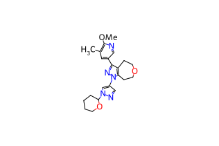 COc1ncc(-c2nn(-c3cnn(C4CCCCO4)c3)c3c2CCOCC3)cc1C